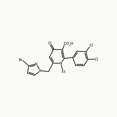 CCn1c(Cn2ccc(Br)n2)cc(=O)c(C(=O)O)c1-c1ccc(Cl)c(Cl)c1